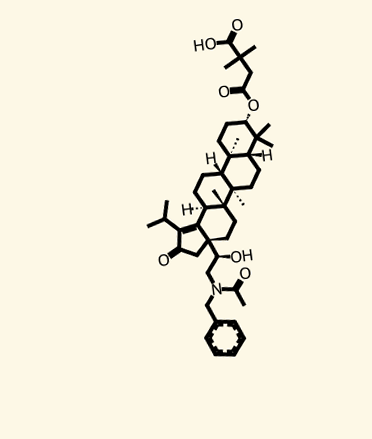 CC(=O)N(Cc1ccccc1)C[C@H](O)[C@@]12CC[C@]3(C)[C@H](CC[C@@H]4[C@@]5(C)CC[C@H](OC(=O)CC(C)(C)C(=O)O)C(C)(C)[C@@H]5CC[C@]43C)C1=C(C(C)C)C(=O)C2